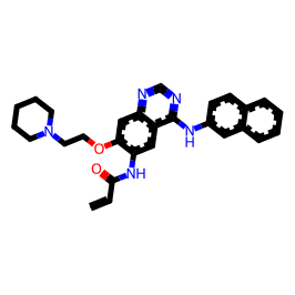 C=CC(=O)Nc1cc2c(Nc3ccc4ccccc4c3)ncnc2cc1OCCN1CCCCC1